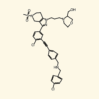 CS(=O)(=O)N1CCc2c(c(-c3ccc(Cl)c(C#Cc4ccc(CNCc5ccc(Cl)cc5)cc4)c3)nn2CCCN2CCOCC2CO)C1